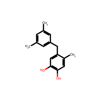 Cc1cc(C)cc(Cc2cc(O)c(O)cc2C)c1